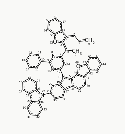 C=C/C=c1\c(=C(/C)c2nc(-c3ccccc3)nc(-n3c4cc(-n5c6ccccc6c6ccccc65)ccc4c4ccc5c6ccccc6oc5c43)n2)oc2ccccc12